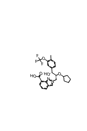 Cc1ccc([C@@H](O)[C@H](Cn2cc3cccc(C(=O)O)c3n2)OC2CCCC2)cc1OC(F)(F)F